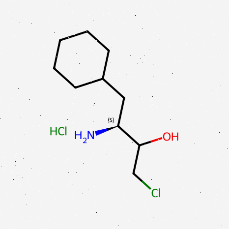 Cl.N[C@@H](CC1CCCCC1)C(O)CCl